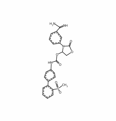 CS(=O)(=O)c1ccccc1-c1ccc(NC(=O)OC2COC(=O)N2c2cccc(C(=N)N)c2)cc1